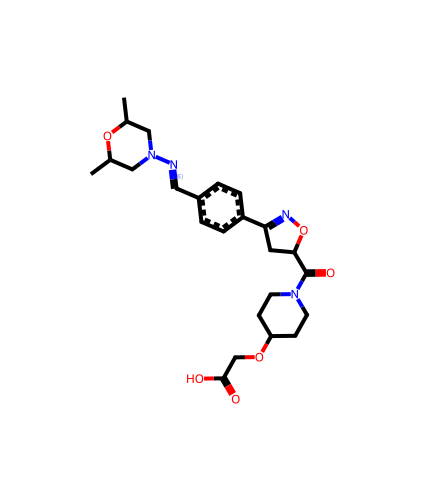 CC1CN(/N=C/c2ccc(C3=NOC(C(=O)N4CCC(OCC(=O)O)CC4)C3)cc2)CC(C)O1